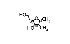 CC1[C@H](C)O[C@H](CCO)[C@@H]1O